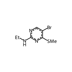 CCNc1ncc(Br)c(SC)n1